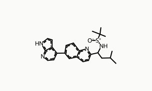 CC(C)CC(N[S+]([O-])C(C)(C)C)c1ccc2cc(-c3ccnc4[nH]ccc34)ccc2n1